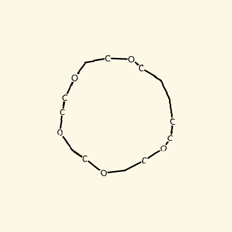 C1CCOCCOCCOCCOCCOCC1